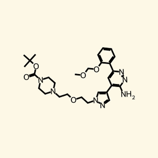 COCOc1ccccc1-c1cc(-c2cnn(CCOCCN3CCN(C(=O)OC(C)(C)C)CC3)c2)c(N)nn1